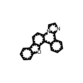 c1ccc2c(c1)oc1c2ccc2c1c1ccccc1c1nccn21